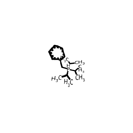 CC(C)[PH](Cc1ccccc1)(C(C)C)C(C)C